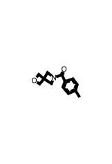 Cc1ccc(C(=O)N2CC3(COC3)C2)cc1